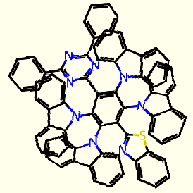 c1ccc(-c2nc(-c3ccccc3)nc(-c3c(-n4c5ccccc5c5ccccc54)c(-n4c5ccccc5c5ccccc54)c(-c4nc5ccccc5s4)c(-n4c5ccccc5c5ccccc54)c3-n3c4ccccc4c4ccccc43)n2)cc1